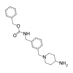 NC1CCN(Cc2cccc(CNC(=O)OCc3ccccc3)c2)CC1